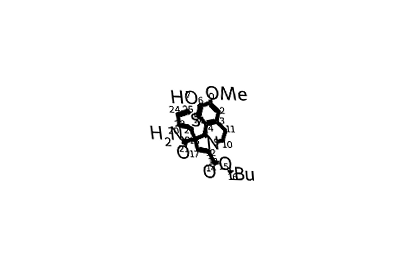 COc1cc2c(cc1O)C1N(CC2)C(C(=O)OC(C)(C)C)=CC1(C(N)=O)c1cccs1